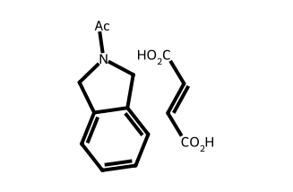 CC(=O)N1Cc2ccccc2C1.O=C(O)C=CC(=O)O